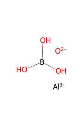 OB(O)O.[Al+3].[O-2]